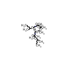 CCCCC(CC)COC(=O)/C=C/C(=O)C(C)(C)OC(C)COC(C)COC(=O)/C=C/C(=O)C(C)(C)OCC(CC)CCCC